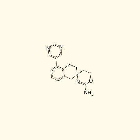 NC1=NC2(CCO1)CCc1c(cccc1-c1cncnc1)C2